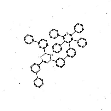 C1=C(c2cccc(-c3ccccc3)c2)NC(c2cccc(-c3ccccc3)c2)NC1c1cccc(-c2cccc(-c3c(-c4ccccc4)c(-c4ccccc4)nc(-c4ccccc4)c3-c3ccccc3)c2)c1